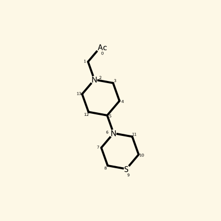 CC(=O)CN1CCC(N2CCSCC2)CC1